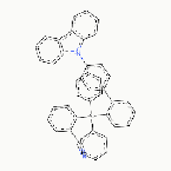 N#Cc1ccccc1[Si](c1ccccc1)(c1ccccc1)c1ccccc1-c1ccc(-n2c3ccccc3c3ccccc32)cc1